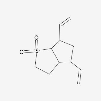 C=CC1CC(C=C)C2C1CCS2(=O)=O